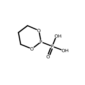 O=P(O)(O)P1OCCCO1